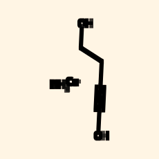 OC#CCCO.[BiH3].[Cu]